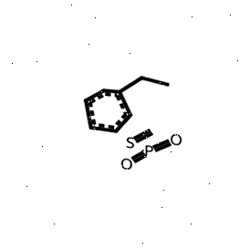 C=S.CCc1ccccc1.O=[P]=O